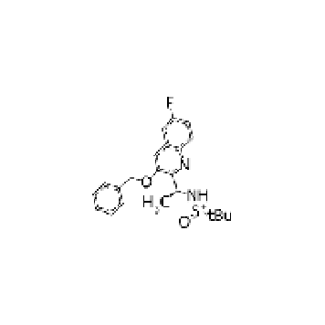 C[C@H](N[S@@+]([O-])C(C)(C)C)c1nc2ccc(F)cc2cc1OCc1ccccc1